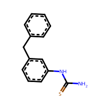 NC(=S)Nc1cccc(Cc2ccccc2)c1